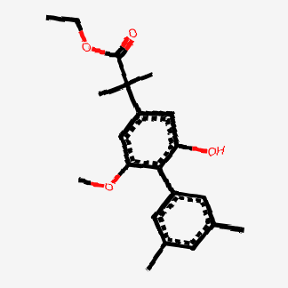 CCOC(=O)C(C)(C)c1cc(O)c(-c2cc(C)cc(C)c2)c(OC)c1